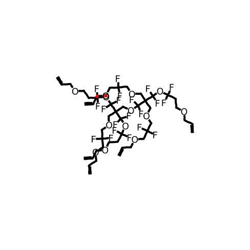 C=CCOCCC(F)(F)OC(F)(F)C(COCC(F)(F)COCC=C)(COCC(F)(F)COCC=C)C(F)(F)OCC(COCC(F)(F)COCC=C)(C(F)(F)OC(F)(F)CCOCC=C)C(F)(F)OC(F)(F)CCOCC=C